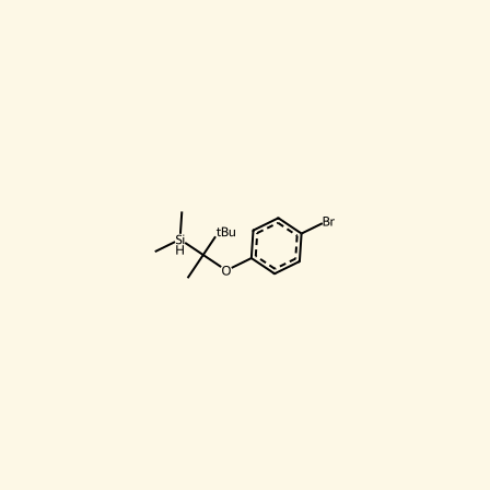 C[SiH](C)C(C)(Oc1ccc(Br)cc1)C(C)(C)C